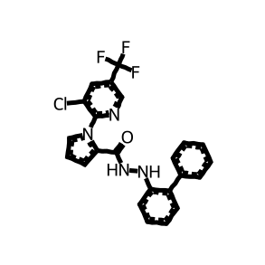 O=C(NNc1ccccc1-c1ccccc1)c1cccn1-c1ncc(C(F)(F)F)cc1Cl